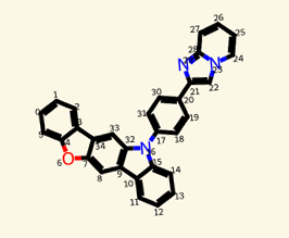 c1ccc2c(c1)oc1cc3c4ccccc4n(-c4ccc(-c5cn6ccccc6n5)cc4)c3cc12